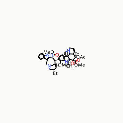 CC[C@@H]1C[C@@H]2C[N@@](Cc3c([nH]c4ccccc34)[C@H](C(=O)OC)[C@H]2c2ccc3c(c2OC)N(C)[C@H]2[C@@](O)(C(=O)OC)[C@H](OC(C)=O)[C@]4(CC)C=CCN5CC[C@]32[C@@H]54)C1